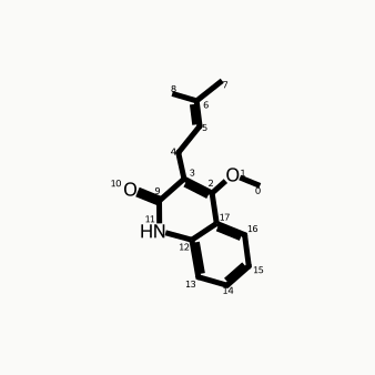 COc1c(CC=C(C)C)c(=O)[nH]c2ccccc12